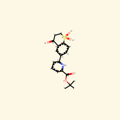 CC(C)(C)OC(=O)c1cccc(-c2ccc3c(c2)C(=O)CCS3(=O)=O)n1